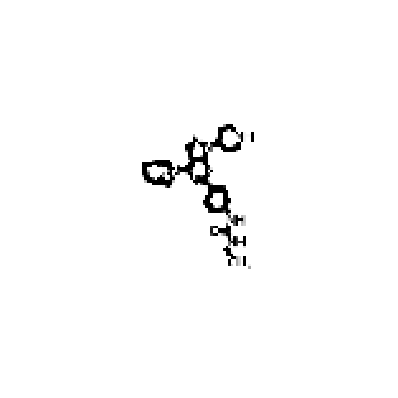 CCNC(=O)Nc1ccc(-c2nc(N3CC4CCC(C3)O4)c3cnn(C4CCNCC4)c3n2)cc1